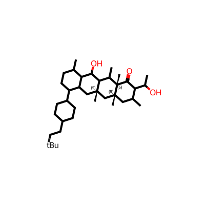 CC(O)C1C(=O)[C@@]2(C)C(C)C3C(O)C4C(C)CCC(C5CCC(CCC(C)(C)C)CC5)C4C[C@@]3(C)C[C@@]2(C)CC1C